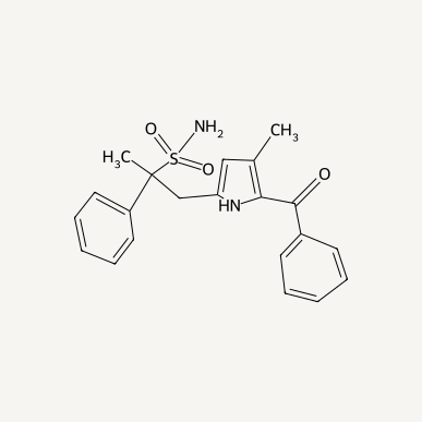 Cc1cc(CC(C)(c2ccccc2)S(N)(=O)=O)[nH]c1C(=O)c1ccccc1